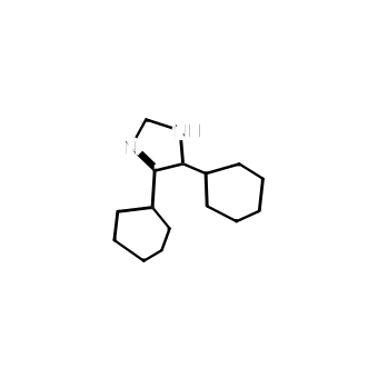 [C]1N=C(C2CCCCC2)C(C2CCCCC2)N1